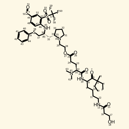 CCC(C)(CC)C(=O)C(CCCCNC(=O)CCO)NC(=O)[C@H](CCC(=O)OCCN1CCC[C@H]1C[C@H](CSc1ccccc1)Nc1ccc([S+]=O)cc1S(=O)(=O)C(F)(F)F)N(C)C